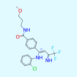 COCCCNC(=O)c1ccc(/C(=C/C(=N)C(F)(F)F)Nc2ccccc2Cl)cc1